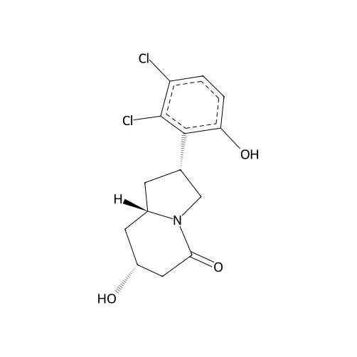 O=C1C[C@H](O)C[C@@H]2C[C@H](c3c(O)ccc(Cl)c3Cl)CN12